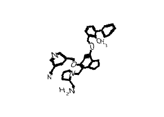 Cc1c(COc2cc(OCc3cncc(C#N)c3)c(CN3CCCC3CN)c3c2CCC3)cccc1-c1ccccc1